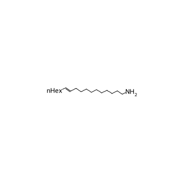 CCCCCCC=CCCCCCCCCCCN